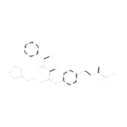 O=C(/C=C/c1ccc(CN(CCCN2CCCC2)C(=O)NC(=O)c2ccccc2)cc1)NO